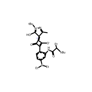 CCCCC(CC)C(=O)Nc1cc(N(CC)CC)ccc1C1=C([O-])/C(=C2\C(C)=N[N+](C(C)(C)C)=C2O)C1=O